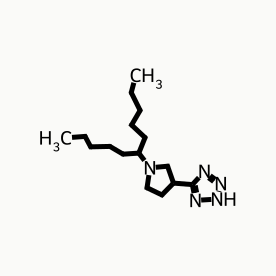 CCCCCC(CCCCC)N1CCC(c2nn[nH]n2)C1